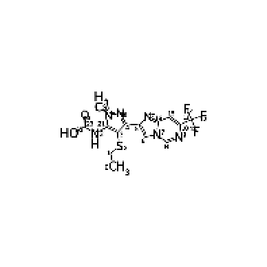 CCSc1c(-c2cn3cnc(C(F)(F)F)cc3n2)nn(C)c1NC(=O)O